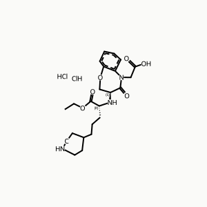 CCOC(=O)[C@@H](CCCC1CCNCC1)N[C@H]1COc2ccccc2N(CC(=O)O)C1=O.Cl.Cl